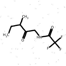 CCC(C)C(=O)CNC(=O)C(F)(F)F